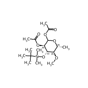 CO[C@H]1[C@H](O[Si](C)(C)C(C)(C)C)[C@@H](OC(C)=O)C(OC(C)=O)O[C@@H]1C